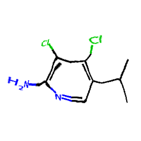 CC(C)c1cnc(N)c(Cl)c1Cl